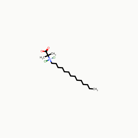 CCCCCCCCCCCCCC[N+](Cl)(Cl)C(C)(C)C(=O)[O-]